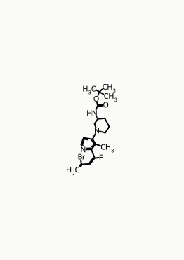 C=C(Br)/C=C(/F)c1nccc(N2CCC[C@H](NC(=O)OC(C)(C)C)C2)c1C